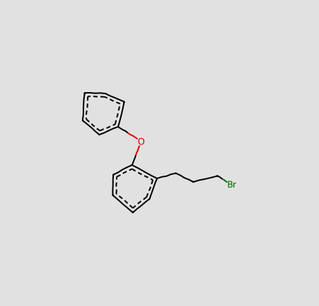 BrCCCc1ccccc1Oc1ccccc1